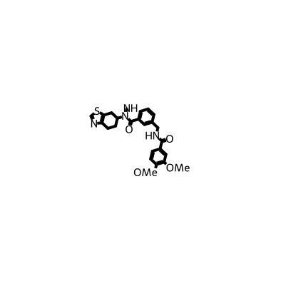 COc1ccc(C(=O)NCc2cccc(C(=O)N(N)C3CCc4ncsc4C3)c2)cc1OC